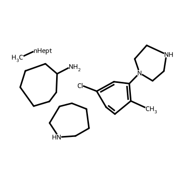 C1CCCNCC1.CCCCCCCC.Cc1ccc(Cl)cc1N1CCNCC1.NC1CCCCCC1